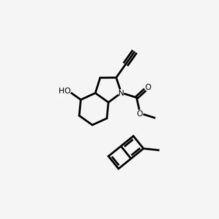 C#CC1CC2C(O)CCCC2N1C(=O)OC.Cc1cc2ccc1-2